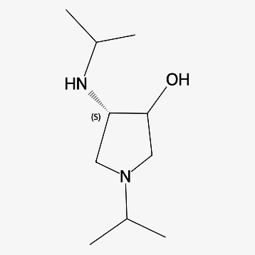 CC(C)N[C@H]1CN(C(C)C)CC1O